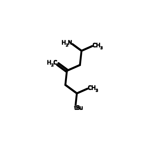 C=C(CC(C)N)CC(C)C(C)(C)C